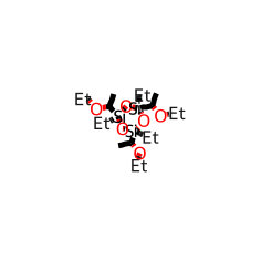 CCOC(C)[Si]1(CC)O[Si](CC)(C(C)OCC)O[Si](CC)(C(C)OCC)O1